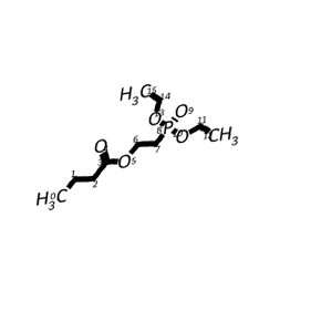 CCCC(=O)OCCP(=O)(OCC)OCC